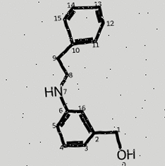 OCc1cccc(NCCc2ccccc2)c1